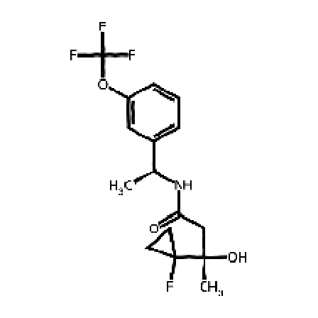 C[C@H](NC(=O)C[C@](C)(O)C1(F)CC1)c1cccc(OC(F)(F)F)c1